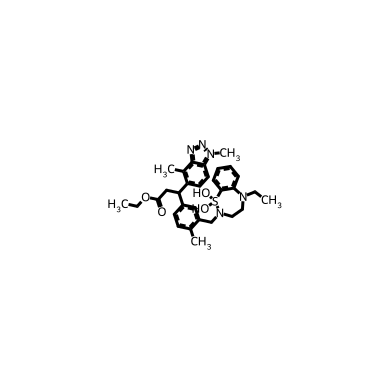 CCOC(=O)CC(c1ccc(C)c(CN2CCN(CC)c3ccccc3S2(O)O)c1)c1ccc2c(nnn2C)c1C